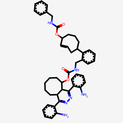 Nc1ccccc1C1=NN=C(c2ccccc2N)C2C(OC(=O)NCc3ccccc3C3C/C=C/C(OC(=O)NCc4ccccc4)CCC3)CCCCCC12